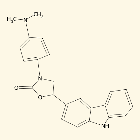 CN(C)c1ccc(N2CC(c3ccc4[nH]c5ccccc5c4c3)OC2=O)cc1